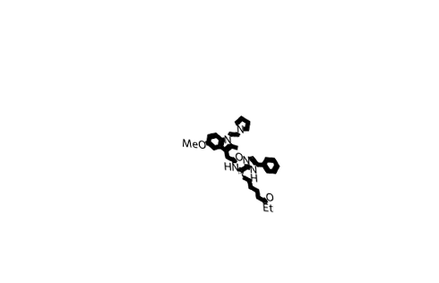 CCC(=O)CCCCC[C@H](NC(=O)Cc1c(C)n(CCN2CCCC2)c2ccc(OC)cc12)c1ncc(-c2ccccc2)[nH]1